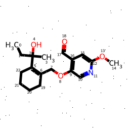 CCC(C)(O)C1=C(COc2cnc(OC)cc2C=O)CCCC1